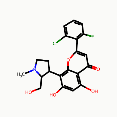 CN1CCC(c2c(O)cc(O)c3c(=O)cc(-c4c(F)cccc4Cl)oc23)C1CO